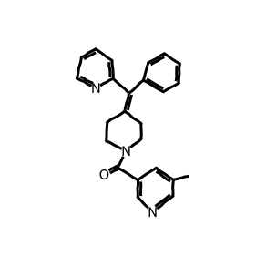 Cc1cncc(C(=O)N2CCC(=C(c3ccccc3)c3ccccn3)CC2)c1